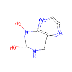 OC1NCc2nccnc2N1O